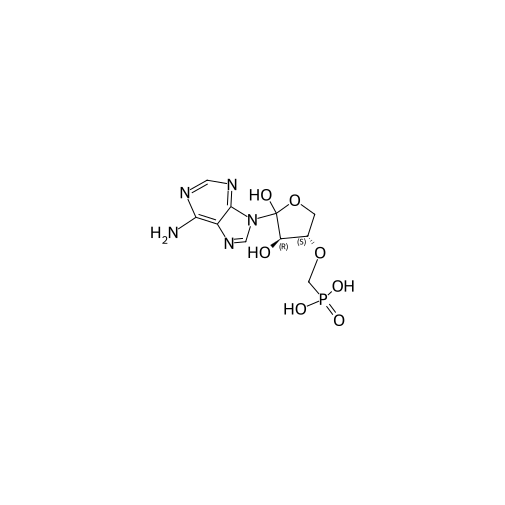 Nc1ncnc2c1ncn2C1(O)OC[C@H](OCP(=O)(O)O)[C@H]1O